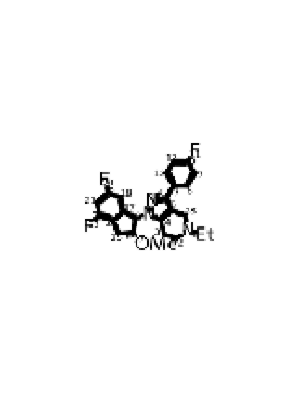 CCN1CCc2c(c(-c3ccc(F)cc3)nn2[C@@H]2c3cc(F)cc(F)c3C[C@H]2OC)C1